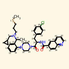 CSCCCN(CC1CC1)C(C)c1ccccc1N1CCN(C(=O)C(Cc2ccc(Cl)cc2)NC(=O)c2ccc3ncccc3c2)CC1